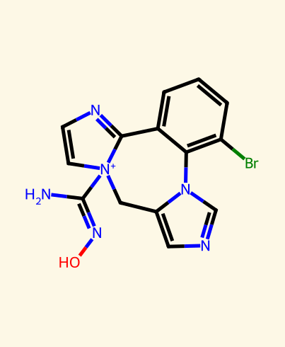 NC(=NO)[N+]12C=CN=C1c1cccc(Br)c1-n1cncc1C2